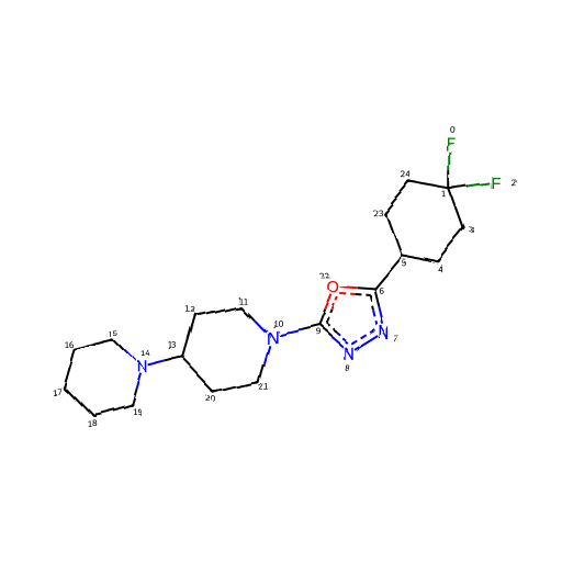 FC1(F)CCC(c2nnc(N3CCC(N4CCCCC4)CC3)o2)CC1